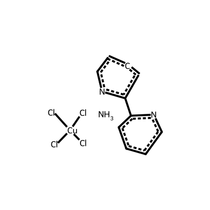 N.[Cl][Cu]([Cl])([Cl])[Cl].c1ccc(-c2ccccn2)nc1